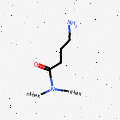 CCCCCCN(CCCCCC)C(=O)CCCN